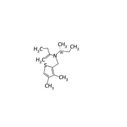 C=C(CC)N(Cc1scc(C)c1C)[C@H](C)CC